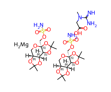 CC1(C)O[C@@H]2[C@@H](CO[C@@]3(COS(N)(=O)=O)OC(C)(C)O[C@@H]23)O1.CC1(C)O[C@@H]2[C@@H](CO[C@@]3(COS(N)(=O)=O)OC(C)(C)O[C@@H]23)O1.CN(CC(=O)O)C(=N)N.[MgH2]